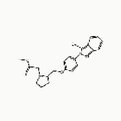 COC(=O)CN1CCCC1COc1ccc(-n2nc3ccccc3c2Cl)cc1